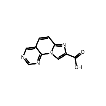 O=C(O)c1cn2c(ccc3cncnc32)n1